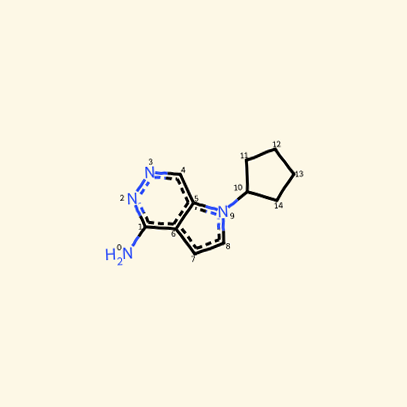 Nc1nncc2c1ccn2C1CCCC1